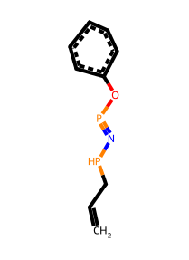 C=CCPN=POc1ccccc1